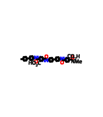 CNC(=O)c1ccc(C(=O)Nc2ccc(-c3ccc(NC(=O)c4ccc(C(=O)Nc5ccc(-c6ccc(C)cc6)cc5)c(C(=O)O)c4)cc3)cc2)cc1C(=O)O